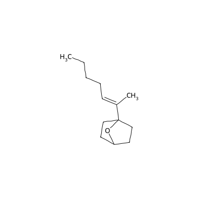 CCCCC=C(C)C12CCC(CC1)O2